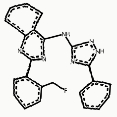 FCc1ccccc1-c1nc(Nc2n[nH]c(-c3ccccc3)n2)c2ccccc2n1